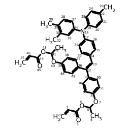 C=CC(=O)OC(C)Oc1ccc(C(=Cc2ccc(N(c3ccc(C)cc3)c3ccc(C)c(C)c3)cc2)c2ccc(OC(C)OC(=O)C=C)cc2)cc1